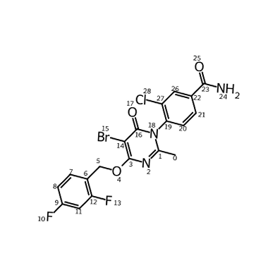 Cc1nc(OCc2ccc(F)cc2F)c(Br)c(=O)n1-c1ccc(C(N)=O)cc1Cl